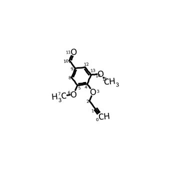 C#CCOc1c(OC)cc([C]=O)cc1OC